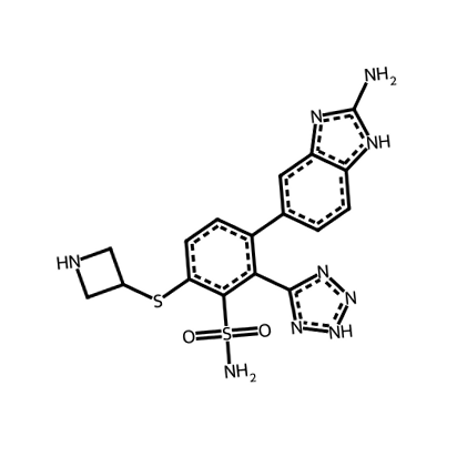 Nc1nc2cc(-c3ccc(SC4CNC4)c(S(N)(=O)=O)c3-c3nn[nH]n3)ccc2[nH]1